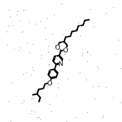 CCCCCCCCC1COC(c2ccc(-c3ccc(OCCCC(C)CC)cc3)nc2)OC1